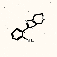 Nc1ccccc1-c1nc2c(s1)COCC2